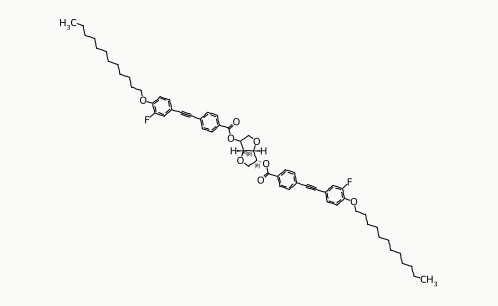 CCCCCCCCCCCCOc1ccc(C#Cc2ccc(C(=O)OC3CO[C@H]4[C@@H]3OC[C@H]4OC(=O)c3ccc(C#Cc4ccc(OCCCCCCCCCCCC)c(F)c4)cc3)cc2)cc1F